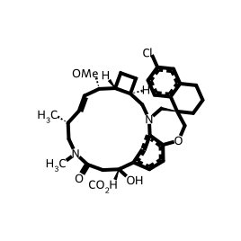 CO[C@H]1/C=C/[C@@H](C)CN(C)C(=O)C[C@](O)(C(=O)O)c2ccc3c(c2)N(C[C@@H]2CC[C@H]21)C[C@@]1(CCCc2cc(Cl)ccc21)CO3